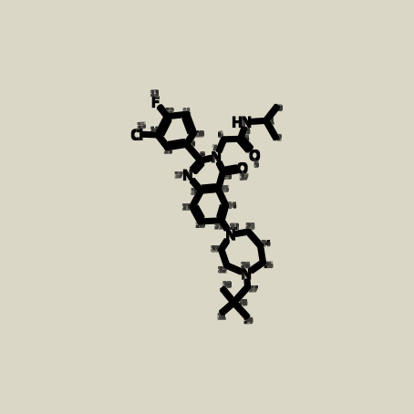 CC(C)NC(=O)Cn1c(-c2ccc(F)c(Cl)c2)nc2ccc(N3CCCN(CC(C)(C)C)CC3)cc2c1=O